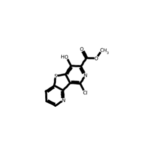 COC(=O)c1nc(Cl)c2c(sc3cccnc32)c1O